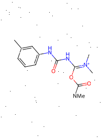 CNC(=O)OC(NC(=O)Nc1cccc(C)c1)=[N+](C)C